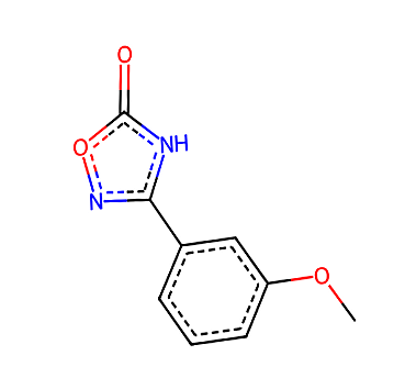 COc1cccc(-c2noc(=O)[nH]2)c1